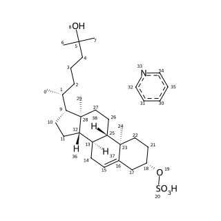 C[C@H](CCCC(C)(C)O)[C@H]1CC[C@H]2[C@@H]3CC=C4C[C@@H](OS(=O)(=O)O)CC[C@]4(C)[C@H]3CC[C@]12C.c1ccncc1